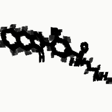 NCCCNC(=O)c1ccc(-c2nc3cc4ccccc4cc3[nH]2)c(Br)c1